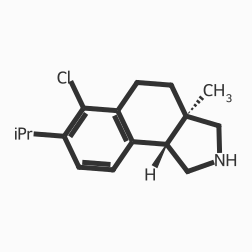 CC(C)c1ccc2c(c1Cl)CC[C@@]1(C)CNC[C@H]21